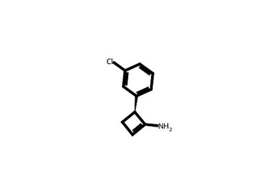 NC1=CC[C@H]1c1cccc(Cl)c1